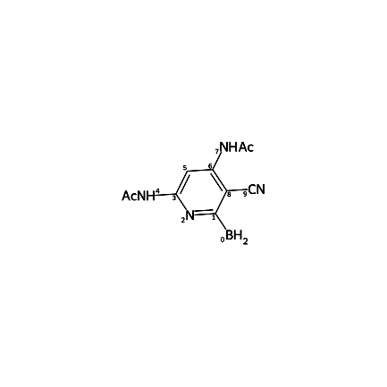 Bc1nc(NC(C)=O)cc(NC(C)=O)c1C#N